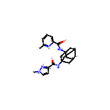 Cc1cccc(C(=O)NC23CC4CC(C2)CC(NC(=O)c2ccn(C)n2)(C4)C3)n1